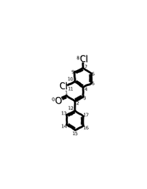 O=CC(=Cc1ccc(Cl)cc1Cl)c1ccccc1